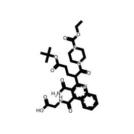 CCOC(=O)N1CCN(C(=O)C(CCC(=O)OC(C)(C)C)c2nc3ccccc3c(C(=O)NCC(=O)O)c2C(N)=O)CC1